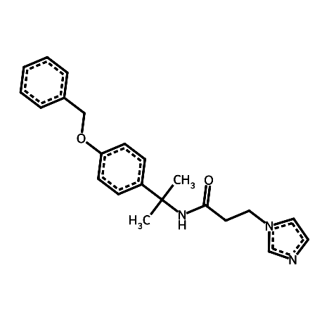 CC(C)(NC(=O)CCn1ccnc1)c1ccc(OCc2ccccc2)cc1